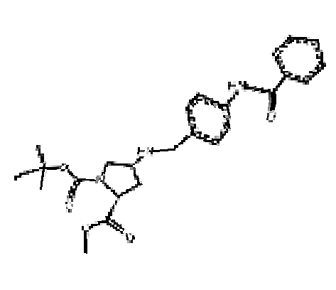 COC(=O)[C@@H]1C[C@H](NCc2ccc(NC(=O)c3ccccc3)cc2)CN1C(=O)OC(C)(C)C